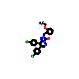 CCOc1ccccc1Cn1nc2c(-c3ccc(Cl)cc3)c(-c3ccc(Cl)cc3)cnn2c1=O